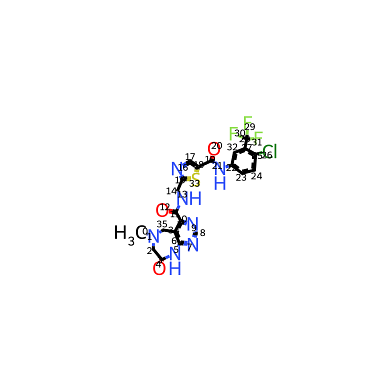 CN1CC(=O)Nc2ncnc(C(=O)NCc3ncc(C(=O)Nc4ccc(Cl)c(C(F)(F)F)c4)s3)c2C1